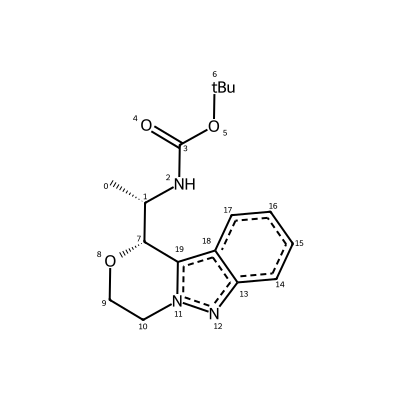 C[C@H](NC(=O)OC(C)(C)C)[C@H]1OCCn2nc3ccccc3c21